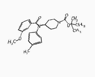 COc1cccc(C(=O)N(c2ccc(C)cc2)C2CCN(C(=O)OC(C)(C)C)CC2)c1